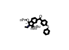 C/C=C1/C(CCCC)(CCCC)c2cc(C(=O)c3ccc(Sc4ccccc4)cc3)ccc2[C@]1(C)OCCC